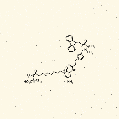 C[C@@H](C(=O)O)N(C)C(=O)CCOCCOCCNC(=O)[C@H](CC(N)=O)NC(=O)CCn1ccc(CN(C)N(C)C(=O)OCC2c3ccccc3-c3ccccc32)c1